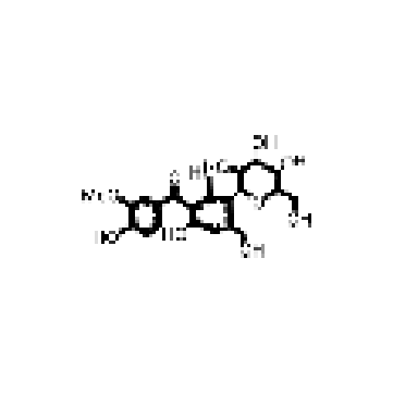 COc1cc(C(=O)c2c(O)cc(CO)c([C@@H]3OC(CO)[C@@H](O)[C@@H](O)C3O)c2O)ccc1O